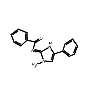 Cn1cc(-c2ccccc2)[nH]/c1=N\C(=O)c1ccccc1